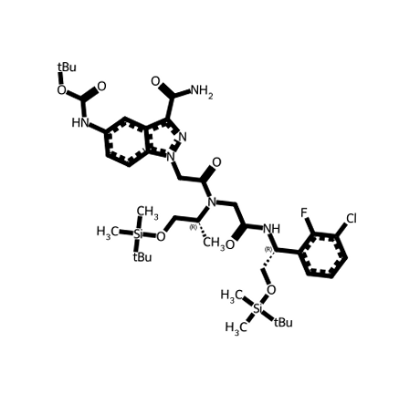 C[C@H](CO[Si](C)(C)C(C)(C)C)N(CC(=O)N[C@@H](CO[Si](C)(C)C(C)(C)C)c1cccc(Cl)c1F)C(=O)Cn1nc(C(N)=O)c2cc(NC(=O)OC(C)(C)C)ccc21